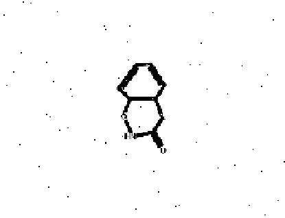 O=C1[C]C2C=CC=CC2ON1